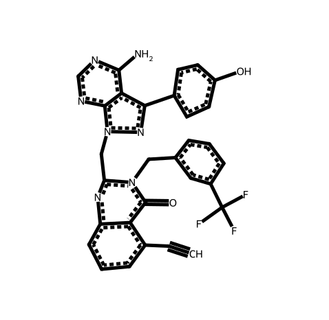 C#Cc1cccc2nc(Cn3nc(-c4ccc(O)cc4)c4c(N)ncnc43)n(Cc3cccc(C(F)(F)F)c3)c(=O)c12